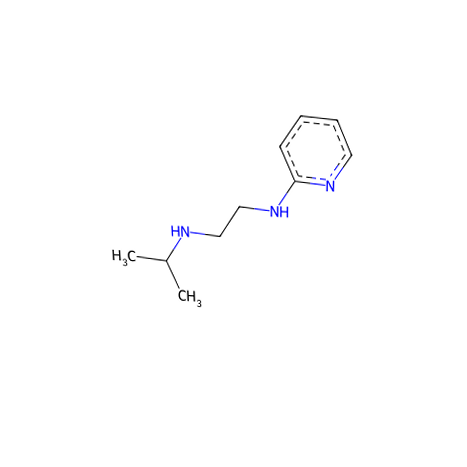 CC(C)NCCNc1ccccn1